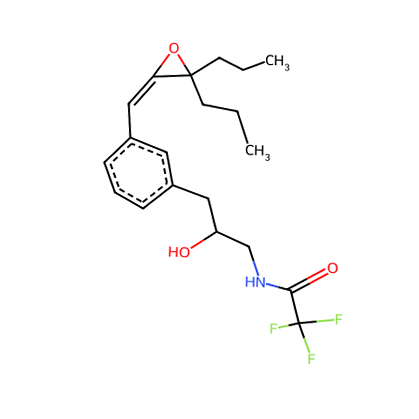 CCCC1(CCC)OC1=Cc1cccc(CC(O)CNC(=O)C(F)(F)F)c1